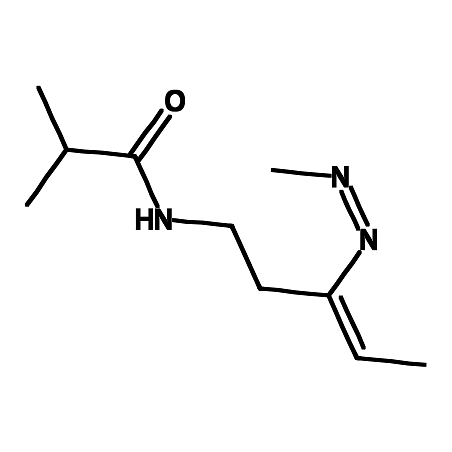 C/C=C(CCNC(=O)C(C)C)\N=N/C